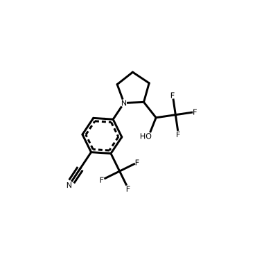 N#Cc1ccc(N2CCCC2C(O)C(F)(F)F)cc1C(F)(F)F